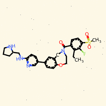 CCc1c(C(=O)N2CCOc3ccc(-c4ccc(NCC5CCCN5)nc4)cc3C2)ccc(S(C)(=O)=O)c1F